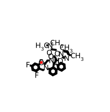 Cc1cc(C)nc(O[C@H](C(=O)OCC(=O)N(C)C)[C@@]2(c3ccccc3)NCC(=O)N(Cc3c(F)cc(F)cc3F)c3ccccc32)n1